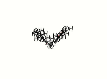 CC[N+](CC)(CC)CC.CC[N+](CC)(CC)CC.CC[N+](CC)(CC)CC.O=C(O)C(=O)O.O=C(O)C(=O)O.O=C(O)C(=O)O.O=C(O)C(F)C(F)(F)F.O=C(O)C(F)C(F)(F)F.O=C(O)C(F)C(F)(F)F.[O-]B([O-])[O-]